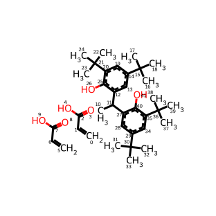 C=CC(=O)O.C=CC(=O)O.CC(c1cc(C(C)(C)C)cc(C(C)(C)C)c1O)c1cc(C(C)(C)C)cc(C(C)(C)C)c1O